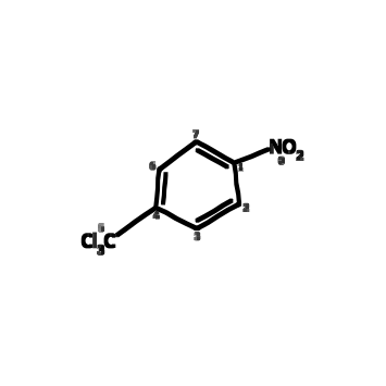 O=[N+]([O-])c1ccc(C(Cl)(Cl)Cl)cc1